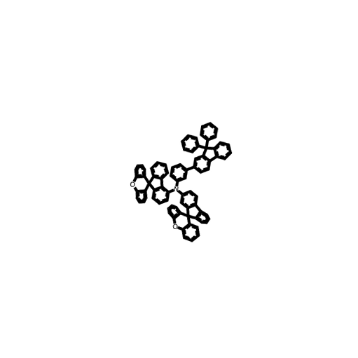 c1ccc(C2(c3ccccc3)c3ccccc3-c3ccc(-c4cccc(N(c5ccc6c(c5)C5(c7ccccc7Oc7ccccc75)c5ccccc5-6)c5cccc6c5-c5ccccc5C65c6ccccc6Oc6ccccc65)c4)cc32)cc1